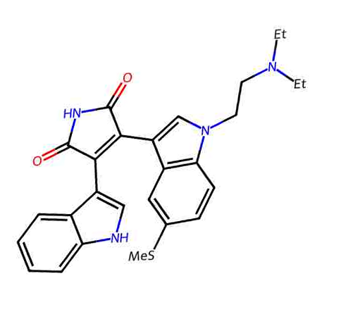 CCN(CC)CCn1cc(C2=C(c3c[nH]c4ccccc34)C(=O)NC2=O)c2cc(SC)ccc21